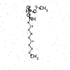 CCCCCCCCCCNO[PH](=O)OCC